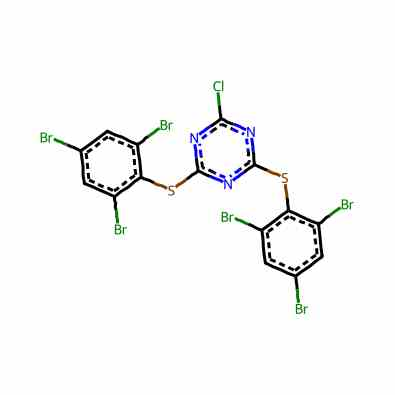 Clc1nc(Sc2c(Br)cc(Br)cc2Br)nc(Sc2c(Br)cc(Br)cc2Br)n1